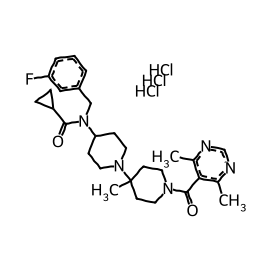 Cc1ncnc(C)c1C(=O)N1CCC(C)(N2CCC(N(Cc3cccc(F)c3)C(=O)C3CC3)CC2)CC1.Cl.Cl.Cl